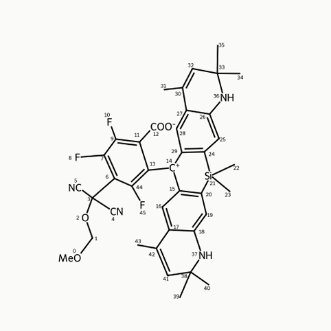 COCOC(C#N)(C#N)c1c(F)c(F)c(C(=O)[O-])c([C+]2c3cc4c(cc3[Si](C)(C)c3cc5c(cc32)C(C)=CC(C)(C)N5)NC(C)(C)C=C4C)c1F